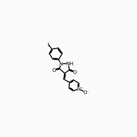 O=C1NN(c2ccc(I)cc2)C(=O)/C1=C/c1cc[n+]([O-])cc1